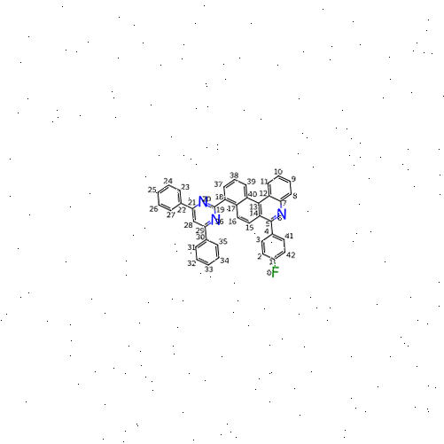 Fc1ccc(-c2nc3ccccc3c3c2ccc2c(-c4nc(-c5ccccc5)cc(-c5ccccc5)n4)cccc23)cc1